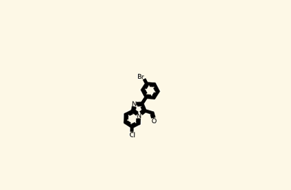 O=Cc1c(-c2cccc(Br)c2)nc2ccc(Cl)cn12